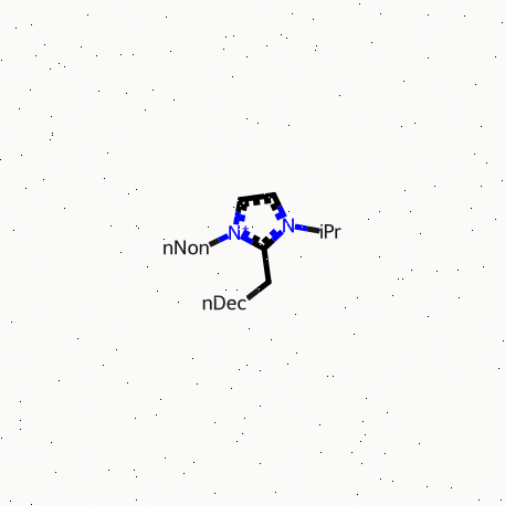 CCCCCCCCCCCc1n(C(C)C)cc[n+]1CCCCCCCCC